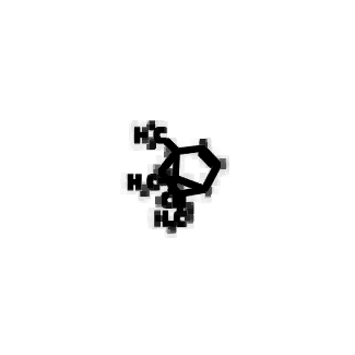 CC1CC2(C)C=CC1C2(C)C